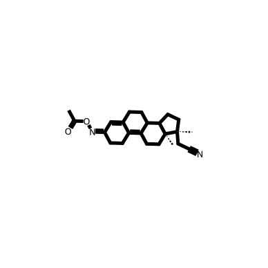 [CH2][C@@]1(CC#N)CCC2C3CCC4=CC(=NOC(C)=O)CCC4=C3CC[C@@]21C